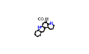 O=C(O)c1cc2nc3ccccc3cc2c2cccnc12